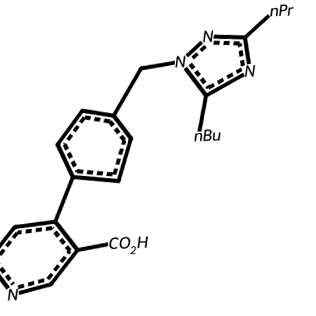 CCCCc1nc(CCC)nn1Cc1ccc(-c2ccncc2C(=O)O)cc1